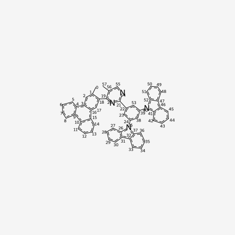 Cc1cc2c3ccccc3c3ccccc3c2cc1-c1nc(-c2cc(-n3c4ccccc4c4ccccc43)cc(-n3c4ccccc4c4ccccc43)c2)ncc1C